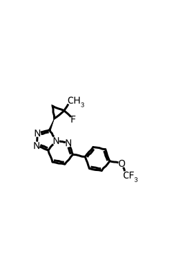 CC1(F)C[C@@H]1c1nnc2ccc(-c3ccc(OC(F)(F)F)cc3)nn12